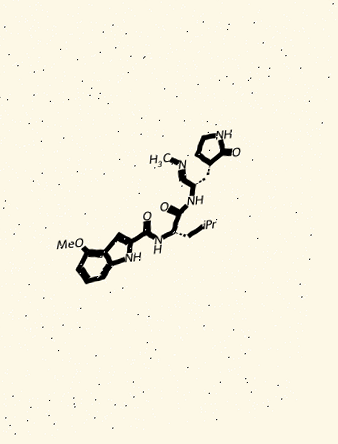 C/N=C/[C@H](C[C@@H]1CCNC1=O)NC(=O)[C@H](CC(C)C)NC(=O)c1cc2c(OC)cccc2[nH]1